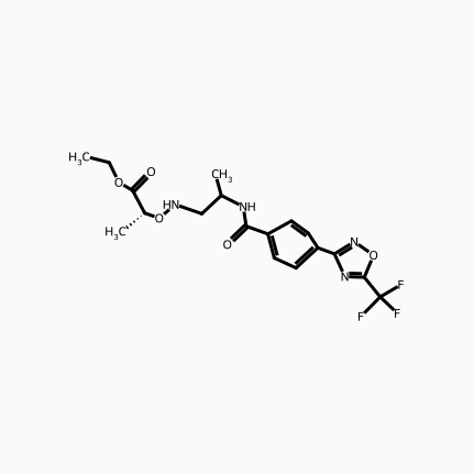 CCOC(=O)[C@@H](C)ONCC(C)NC(=O)c1ccc(-c2noc(C(F)(F)F)n2)cc1